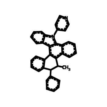 CC1c2c(c3c4ccccc4n(-c4ccncc4)c3c3ccccc23)-c2ccccc2C1c1ccccc1